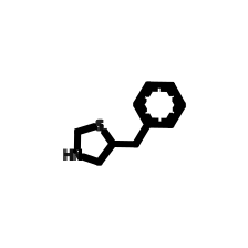 c1ccc(CC2CNCS2)cc1